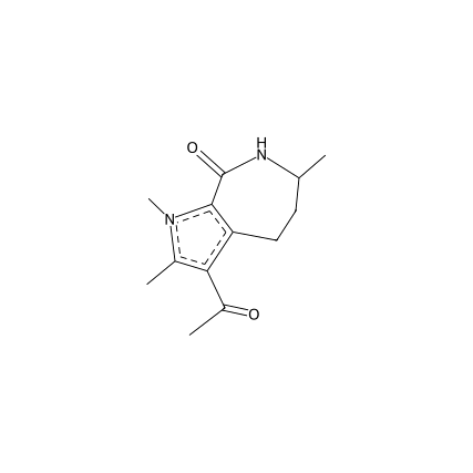 CC(=O)c1c2c(n(C)c1C)C(=O)NC(C)CC2